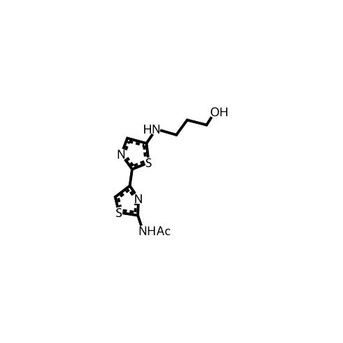 CC(=O)Nc1nc(-c2ncc(NCCCO)s2)cs1